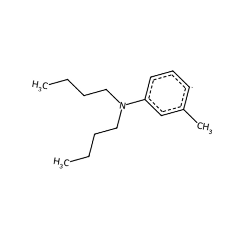 CCCCN(CCCC)c1cc[c]c(C)c1